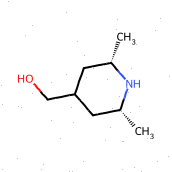 C[C@@H]1CC(CO)C[C@H](C)N1